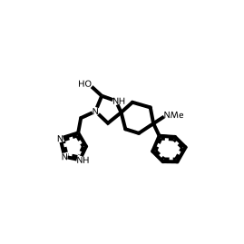 CNC1(c2ccccc2)CCC2(CC1)CN(Cc1c[nH]nn1)C(O)N2